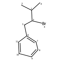 CC(C)C(Br)[CH]c1ccccc1